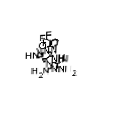 N#Cc1c(N)nc(N)nc1NC(c1nc2cccc(C(F)(F)F)c2c(=O)n1-c1cc[nH]n1)C1CC1